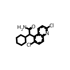 NC(=O)C(c1c(Cl)ccc2nc(Cl)ccc12)C1CCCCC1